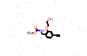 C#Cc1ccc(CNC(=O)OC(C)(C)C)c(OCCO)c1